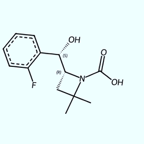 CC1(C)C[C@H]([C@@H](O)c2ccccc2F)N1C(=O)O